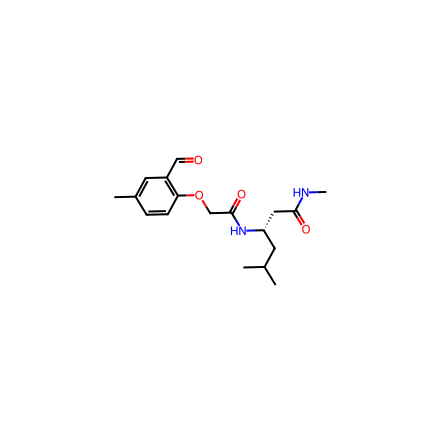 CNC(=O)C[C@H](CC(C)C)NC(=O)COc1ccc(C)cc1C=O